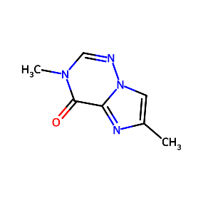 Cc1cn2ncn(C)c(=O)c2n1